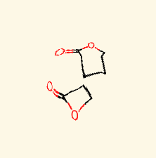 O=C1CCCO1.O=C1CCO1